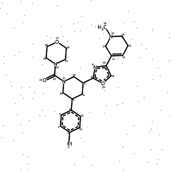 CCc1ccc(C2CC(c3nc(C4=CCCN(C)C4)co3)CN(C(=O)N3CCOCC3)C2)cc1